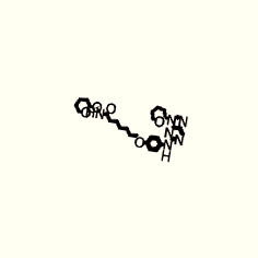 O=C(CCCCCCOc1ccc(Nc2ncc3ncn(C4CCCCO4)c3n2)cc1)NOC1CCCCO1